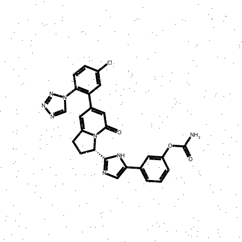 NC(=O)Oc1cccc(-c2cnc([C@@H]3CCc4cc(-c5cc(Cl)ccc5-n5cnnn5)cc(=O)n43)[nH]2)c1